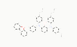 CCCc1ccc(N2c3ccc(CCC)cc3B3c4cc(CCC)ccc4N(c4ccc(-c5cccc6c5oc5ccccc56)cc4)c4cccc2c43)cc1